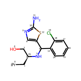 CC(C)C[C@@H](CO)NC(c1cnc(N)s1)c1ccccc1Cl